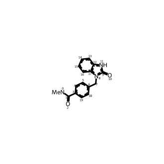 CNC(=O)c1ccc(Cn2c(=O)[nH]c3ccccc32)cc1